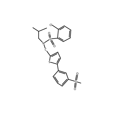 CC(C)CN(Cc1ccc(-c2cccc(S(C)(=O)=O)c2)s1)S(=O)(=O)c1ccccc1Cl